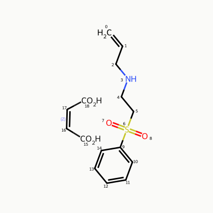 C=CCNCCS(=O)(=O)c1ccccc1.O=C(O)/C=C\C(=O)O